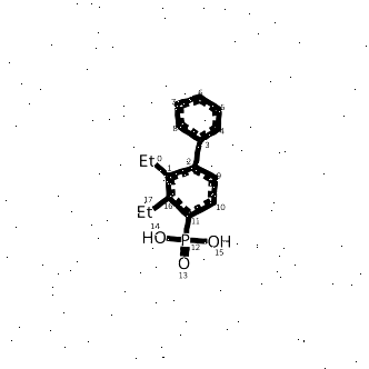 CCc1c(-c2ccccc2)ccc(P(=O)(O)O)c1CC